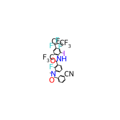 CN(C(=O)c1cccc(C#N)c1)c1cccc(C(=O)Nc2c(I)cc(C(F)(C(F)(F)F)C(F)(F)C(F)(F)F)cc2C(F)(F)F)c1F